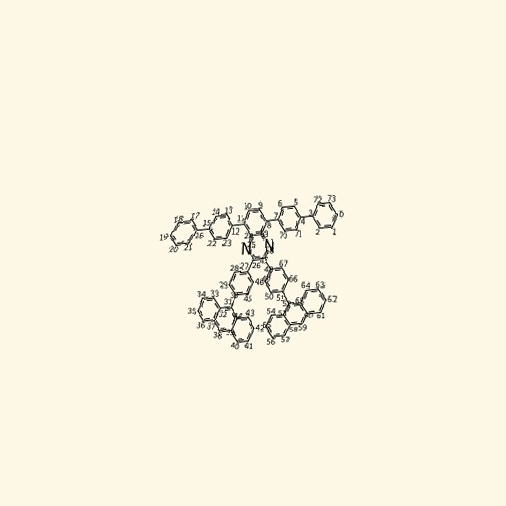 c1ccc(-c2ccc(-c3ccc(-c4ccc(-c5ccccc5)cc4)c4nc(-c5ccc(-c6c7ccccc7cc7ccccc67)cc5)c(-c5ccc(-c6c7ccccc7cc7ccccc67)cc5)nc34)cc2)cc1